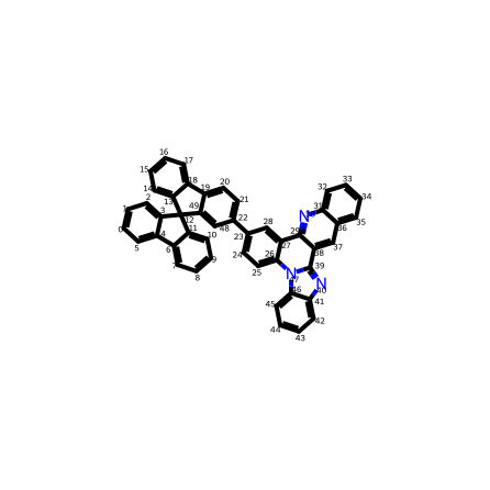 c1ccc2c(c1)-c1ccccc1C21c2ccccc2-c2ccc(-c3ccc4c(c3)c3nc5ccccc5cc3c3nc5ccccc5n43)cc21